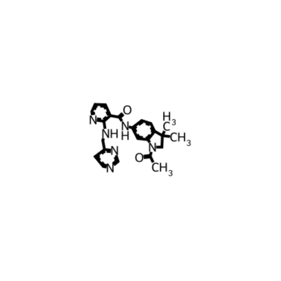 CC(=O)N1CC(C)(C)c2ccc(NC(=O)c3cccnc3NCc3ccncn3)cc21